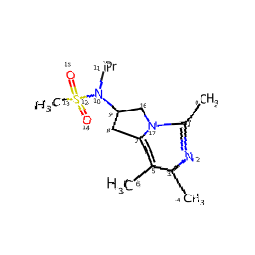 CC1=NC(C)C(C)=C2CC(N(C(C)C)S(C)(=O)=O)CN12